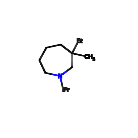 CCC1(C)CCCCN(C(C)C)C1